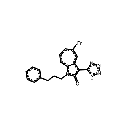 CC(C)c1cccc2n(CCCc3ccccc3)c(=O)c(-c3nnn[nH]3)c-2c1